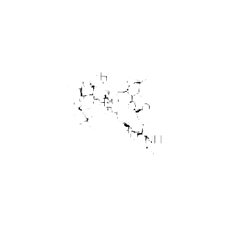 [2H]C[C@H]1O[C@@H](C)[C@@H](O[Si](C)(C)C(C)(C)C)C1OP(=O)(OCCC#N)OC[C@H]1O[C@@H](C)CC1OC(=O)CCC(=O)NCC